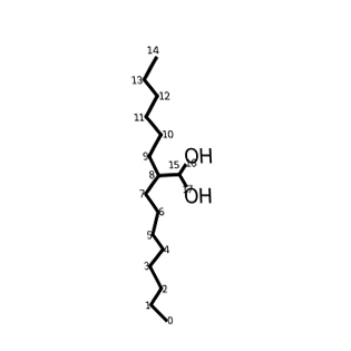 CCCCCCCCC(CCCCCC)C(O)O